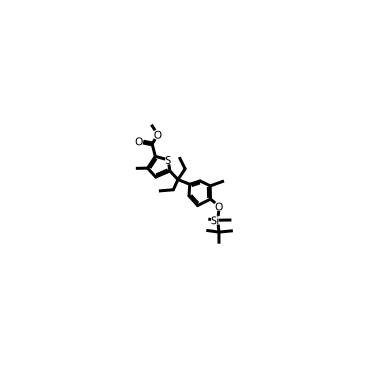 CCC(CC)(c1ccc(O[Si](C)(C)C(C)(C)C)c(C)c1)c1cc(C)c(C(=O)OC)s1